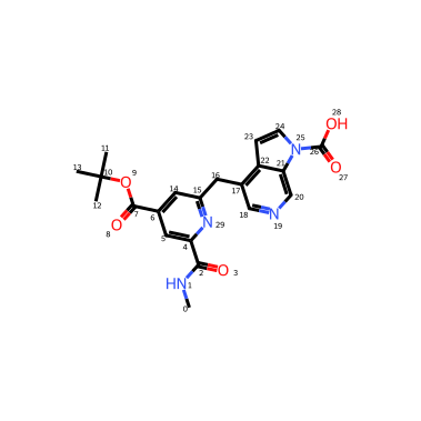 CNC(=O)c1cc(C(=O)OC(C)(C)C)cc(Cc2cncc3c2ccn3C(=O)O)n1